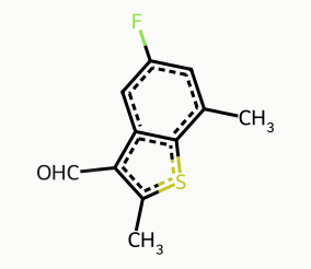 Cc1sc2c(C)cc(F)cc2c1C=O